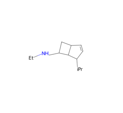 CCNCC1CC2C=CC(C(C)C)C21